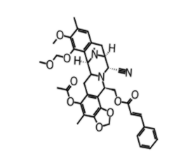 COCOc1c(OC)c(C)cc2c1[C@@H]1C3Cc4c(OC(C)=O)c(C)c5c(c4[C@H](COC(=O)/C=C/c4ccccc4)N3[C@@H](C#N)[C@H](C2)N1C)OCO5